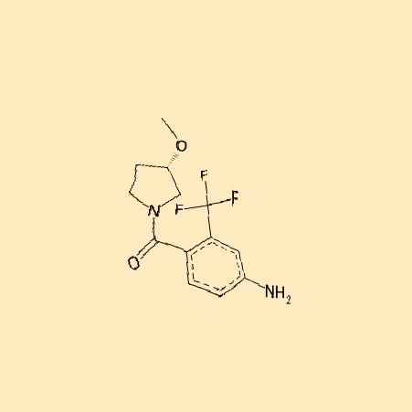 CO[C@H]1CCN(C(=O)c2ccc(N)cc2C(F)(F)F)C1